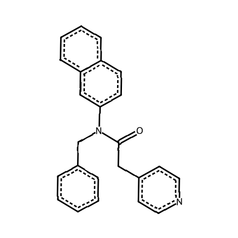 O=C(Cc1ccncc1)N(Cc1ccccc1)c1ccc2ccccc2c1